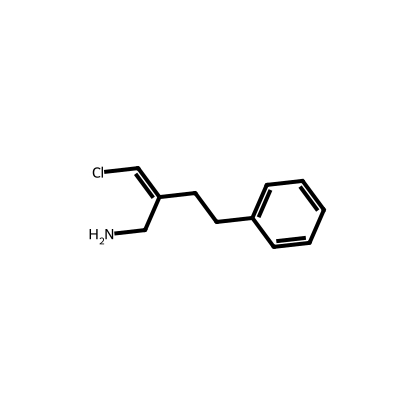 NC/C(=C\Cl)CCc1ccccc1